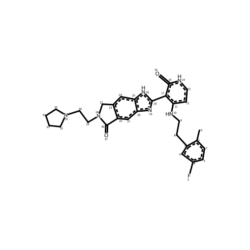 Cc1ccc(F)cc1CCNc1cc[nH]c(=O)c1-c1nc2cc3c(cc2[nH]1)CN(CCN1CCCC1)C3=O